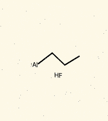 CC[CH2][Al].F